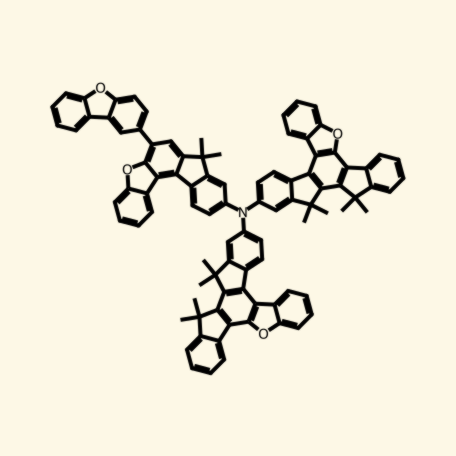 CC1(C)c2cc(N(c3ccc4c(c3)C(C)(C)c3c5c(c6oc7ccccc7c6c3-4)-c3ccccc3C5(C)C)c3ccc4c(c3)C(C)(C)c3c5c(c6oc7ccccc7c6c3-4)-c3ccccc3C5(C)C)ccc2-c2c1cc(-c1ccc3oc4ccccc4c3c1)c1oc3ccccc3c21